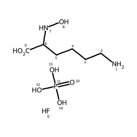 F.NCCCCC(NO)C(=O)O.O=P(O)(O)O